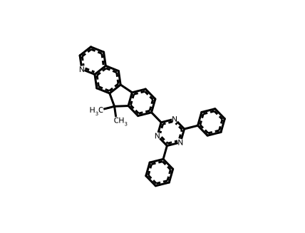 CC1(C)c2cc(-c3nc(-c4ccccc4)nc(-c4ccccc4)n3)ccc2-c2cc3cccnc3cc21